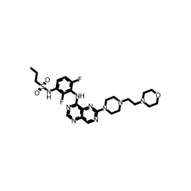 CCCS(=O)(=O)Nc1ccc(F)c(Nc2ncnc3cnc(N4CCN(CCN5CCOCC5)CC4)nc23)c1F